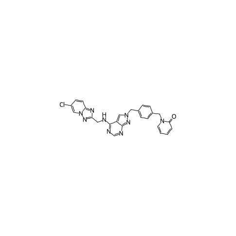 O=c1ccccn1Cc1ccc(Cn2cc3c(NCc4nc5ccc(Cl)cn5n4)ncnc3n2)cc1